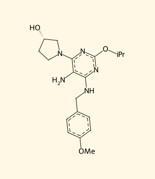 COc1ccc(CNc2nc(OC(C)C)nc(N3CC[C@H](O)C3)c2N)cc1